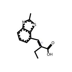 CC/C(=C\c1cccc2nc(C)sc12)C(=O)O